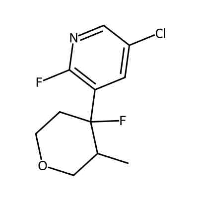 CC1COCCC1(F)c1cc(Cl)cnc1F